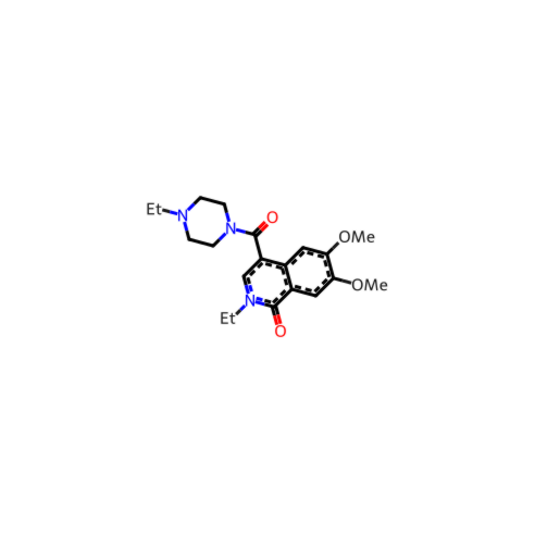 CCN1CCN(C(=O)c2cn(CC)c(=O)c3cc(OC)c(OC)cc23)CC1